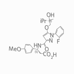 COc1ccc([C@H](CC(=O)O)NC(=O)c2cc(OC[C@](C)(O)C(C)C)n(-c3ccccc3F)n2)cc1